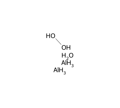 O.OO.[AlH3].[AlH3]